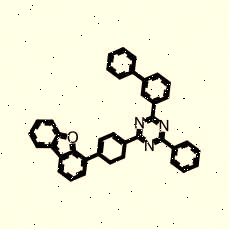 C1=C(c2nc(-c3ccccc3)nc(-c3cccc(-c4ccccc4)c3)n2)CCC(c2cccc3c2oc2ccccc23)=C1